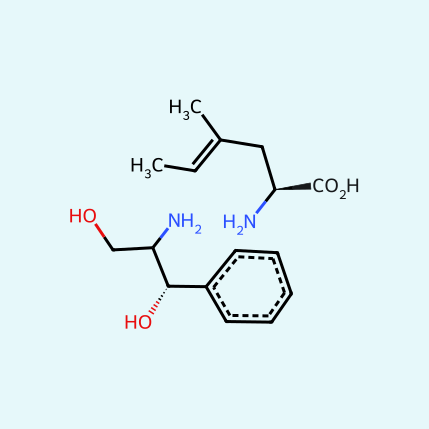 CC=C(C)C[C@H](N)C(=O)O.NC(CO)[C@@H](O)c1ccccc1